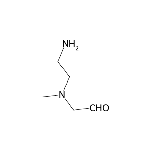 CN(CC=O)CCN